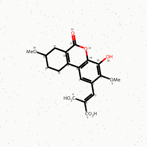 COc1c(C=C(C(=O)O)C(=O)O)cc2c3c(c(=O)oc2c1O)CC(OC)CC3